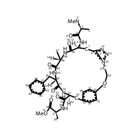 CN[C@@H](C)C(=O)N[C@H]1Cc2cn(nn2)CCOc2ccc(cc2)C[C@@H](C(=O)N[C@@H](C)C(=O)OC)NC(=O)[C@H](Cc2ccccc2)NC(=O)[C@H](C)NC1=O